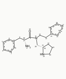 N[C@H](Cc1cccnc1)C(=O)N(CCc1ccccc1)C[C@@H]1CCCN1